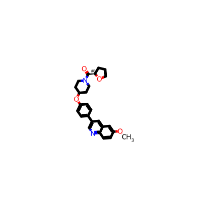 COc1ccc2ncc(-c3ccc(OC4CCN(C(=O)[C@H]5CCCO5)CC4)cc3)cc2c1